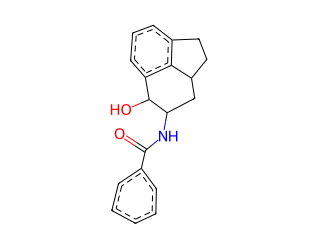 O=C(NC1CC2CCc3cccc(c32)C1O)c1ccccc1